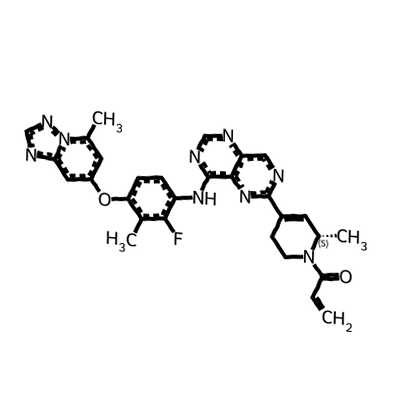 C=CC(=O)N1CCC(c2ncc3ncnc(Nc4ccc(Oc5cc(C)n6ncnc6c5)c(C)c4F)c3n2)=C[C@@H]1C